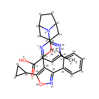 Cc1cc(C(=O)O)nc(N2C3CCC2CC(OCc2c(-c4ccccc4C)noc2C2CC2)C3)n1